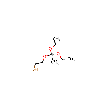 CCO[Si](C)(OCC)OCCS